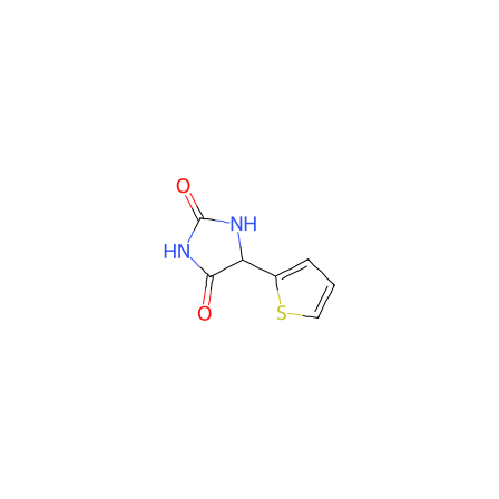 O=C1NC(=O)C(c2cccs2)N1